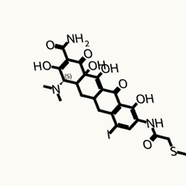 CSCC(=O)Nc1cc(I)c2c(c1O)C(=O)C1=C(O)C3(O)C(=O)C(C(N)=O)=C(O)[C@@H](N(C)C)C3CC1C2